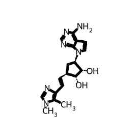 Cc1c(/C=C/[C@H]2C[C@@H](n3ccc4c(N)ncnc43)[C@H](O)[C@@H]2O)ncn1C